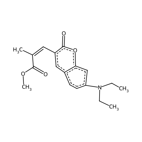 CCN(CC)c1ccc2cc(C=C(C)C(=O)OC)c(=O)oc2c1